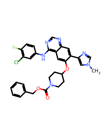 Cn1cnc(-c2cc3ncnc(Nc4ccc(F)c(Cl)c4)c3cc2OC2CCN(C(=O)OCc3ccccc3)CC2)c1